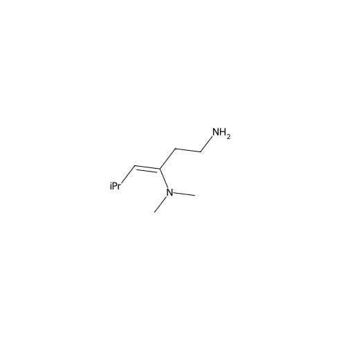 CC(C)C=C(CCN)N(C)C